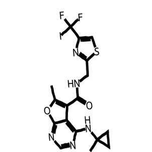 Cc1oc2ncnc(NC3(C)CC3)c2c1C(=O)NCc1nc(C(F)(F)I)cs1